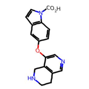 O=C(O)n1ccc2cc(Oc3cncc4c3CNCC4)ccc21